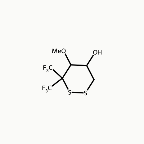 COC1C(O)CSSC1(C(F)(F)F)C(F)(F)F